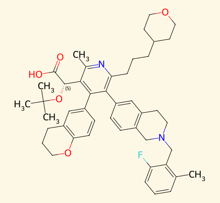 Cc1cccc(F)c1CN1CCc2cc(-c3c(CCCC4CCOCC4)nc(C)c([C@H](OC(C)(C)C)C(=O)O)c3-c3ccc4c(c3)CCCO4)ccc2C1